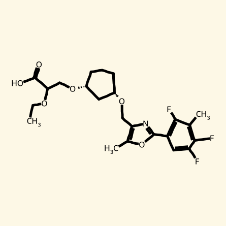 CCOC(CO[C@@H]1CCC[C@H](OCc2nc(-c3cc(F)c(F)c(C)c3F)oc2C)C1)C(=O)O